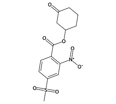 CS(=O)(=O)c1ccc(C(=O)OC2CCCC(=O)C2)c([N+](=O)[O-])c1